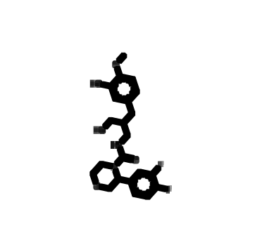 COc1ccc(CC(CO)CNC(=O)N2CCOCC2c2ccc(F)c(F)c2)cc1O